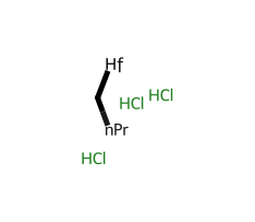 CCC[CH2][Hf].Cl.Cl.Cl